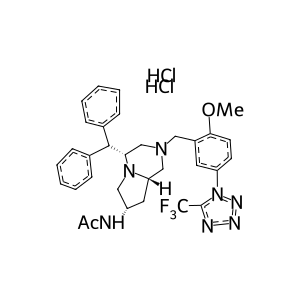 COc1ccc(-n2nnnc2C(F)(F)F)cc1CN1C[C@@H]2C[C@H](NC(C)=O)CN2[C@H](C(c2ccccc2)c2ccccc2)C1.Cl.Cl